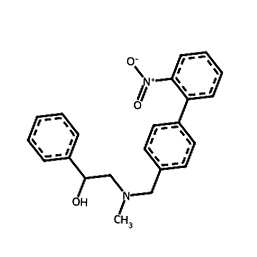 CN(Cc1ccc(-c2ccccc2[N+](=O)[O-])cc1)CC(O)c1ccccc1